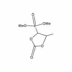 COP(=O)(OC)C1OC(=O)OC1C